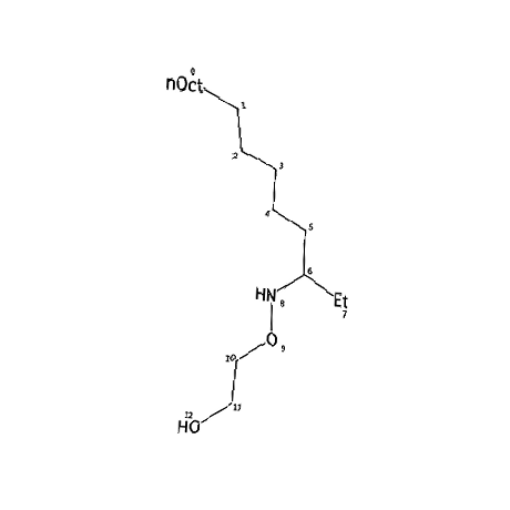 CCCCCCCCCCCCCC(CC)NOCCO